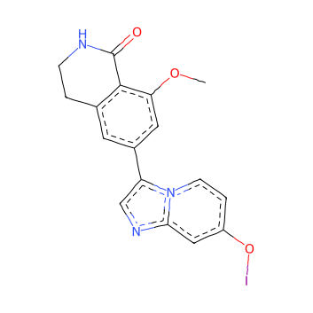 COc1cc(-c2cnc3cc(OI)ccn23)cc2c1C(=O)NCC2